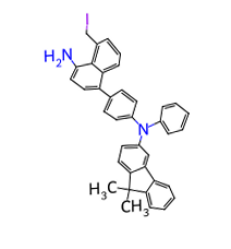 CC1(C)c2ccccc2-c2cc(N(c3ccccc3)c3ccc(-c4ccc(N)c5c(CI)cccc45)cc3)ccc21